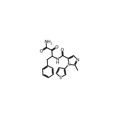 Cc1ncc(C(=O)NC(Cc2ccccc2)C(=O)C(N)=O)n1-c1ccsc1